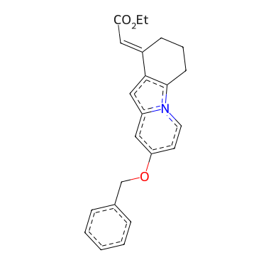 CCOC(=O)C=C1CCCc2c1cc1cc(OCc3ccccc3)ccn21